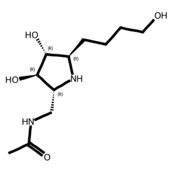 CC(=O)NC[C@H]1N[C@H](CCCCO)[C@@H](O)[C@@H]1O